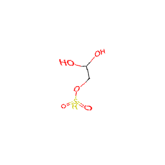 O=[SH](=O)OCC(O)O